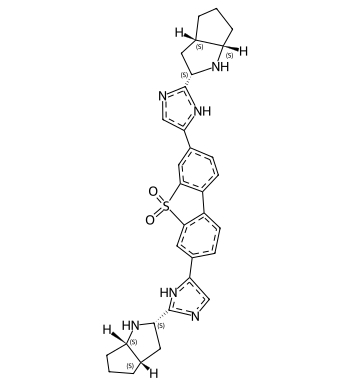 O=S1(=O)c2cc(-c3cnc([C@@H]4C[C@@H]5CCC[C@@H]5N4)[nH]3)ccc2-c2ccc(-c3cnc([C@@H]4C[C@@H]5CCC[C@@H]5N4)[nH]3)cc21